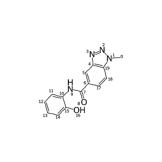 Cn1nnc2cc(C(=O)Nc3ccccc3O)ccc21